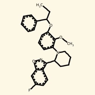 CCC(Oc1[c]ccc(N2CCCCC2c2noc3cc(F)ccc23)c1OC)c1ccccc1